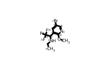 CCNC(c1cc(Br)cnc1OC)C(F)(F)F